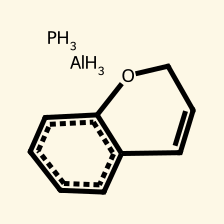 C1=Cc2ccccc2OC1.P.[AlH3]